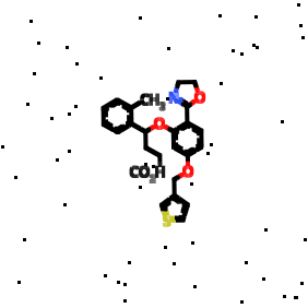 Cc1ccccc1C(CCC(=O)O)Oc1cc(OCc2ccsc2)ccc1C1=NCCO1